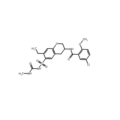 CCc1cc2c(cc1S(=O)(=O)NC(=O)NC)CC(NC(=O)c1cc(Cl)ccc1OC)CO2